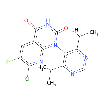 CC(C)c1ncnc(C(C)C)c1-n1c(=O)[nH]c(=O)c2cc(F)c(Cl)nc21